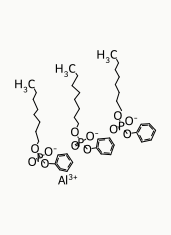 CCCCCCCCOP(=O)([O-])Oc1ccccc1.CCCCCCCCOP(=O)([O-])Oc1ccccc1.CCCCCCCCOP(=O)([O-])Oc1ccccc1.[Al+3]